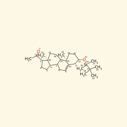 CC(=O)C1CCC2C3CC=C4CC(O[Si](C)(C)C(C)(C)C)CC[C@]4(C)C3CC[C@]12C